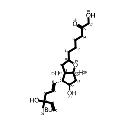 C=CC(O)(C/C=C/[C@@H]1[C@H]2CC(CCCCC(=O)CO)O[C@H]2C[C@H]1O)CCCC